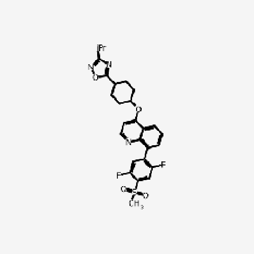 CC(C)c1noc(C2CCC(Oc3ccnc4c(-c5cc(F)c(S(C)(=O)=O)cc5F)cccc34)CC2)n1